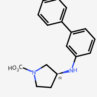 O=C(O)N1CC[C@H](Nc2cccc(-c3ccccc3)c2)C1